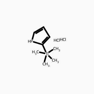 Cl.Cl.[CH3][Ti]([CH3])([CH3])([CH3])[c]1ccc[pH]1